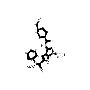 CNN(C(=O)c1cc2c(NC(=O)c3ccc(CCl)cc3)nn(C(=O)O)c2s1)c1ccccc1